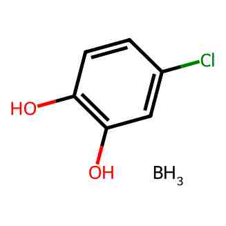 B.Oc1ccc(Cl)cc1O